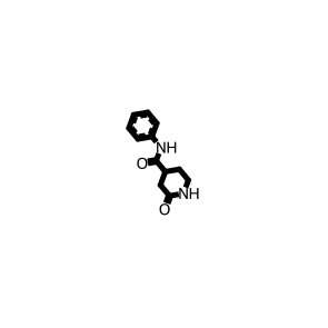 O=C1CC(C(=O)Nc2ccccc2)CCN1